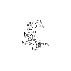 CC(C)NC(C)(C)CCOC(C)(C)CC(C)(C)C(C)(C)NC(=O)C(C)CC(C)C(C)C